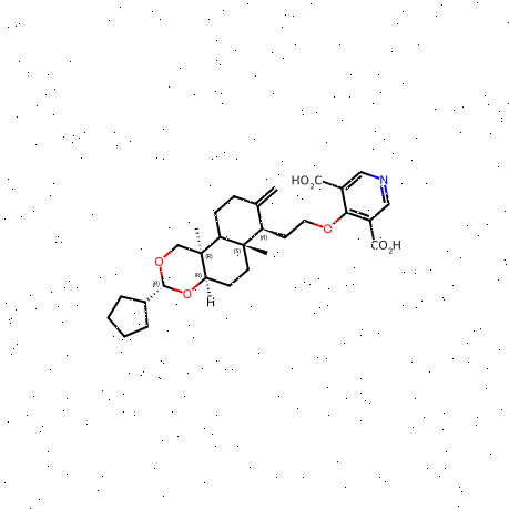 C=C1CCC2[C@]3(C)CO[C@@H](C4CCCC4)O[C@@H]3CC[C@@]2(C)[C@@H]1CCOc1c(C(=O)O)cncc1C(=O)O